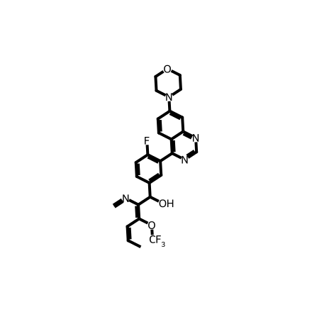 C=N/C(=C(\C=C/C)OC(F)(F)F)C(O)c1ccc(F)c(-c2ncnc3cc(N4CCOCC4)ccc23)c1